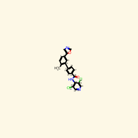 Cc1ccc(-c2cnco2)cc1-c1ccc(C(=O)Nc2c(Cl)cncc2Cl)cc1